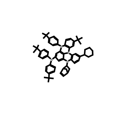 CC(C)(C)c1ccc(N(c2ccc(C(C)(C)C)cc2)c2cc3c4c(c2)N(C2CC5C=CC2C5)c2ccc(C5CCCCC5)cc2B4c2cc(C(C)(C)C)ccc2N3c2ccc(C(C)(C)C)cc2)cc1